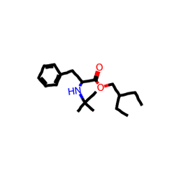 CCC(CC)COC(=O)C(Cc1ccccc1)NC(C)(C)C